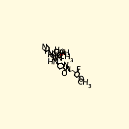 COc1ccc(CCn2cnc3cc(NC(=NC4C[C@@H]5C[C@H]([C@@H]4C)C5(C)C)N4CCN(c5ccncc5)CC4)ccc3c2=O)c(F)c1